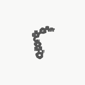 CCCOc1ccc(-c2cc(Cn3cc4nc(-c5ccccc5F)nc-4cn3)on2)cc1